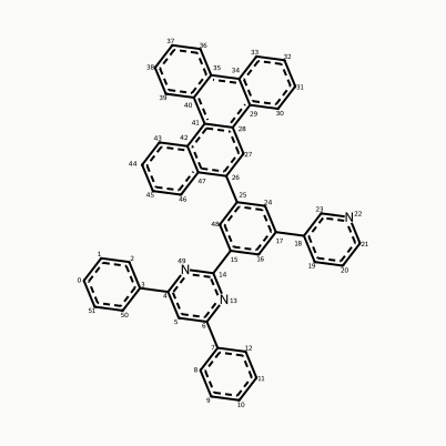 c1ccc(-c2cc(-c3ccccc3)nc(-c3cc(-c4cccnc4)cc(-c4cc5c6ccccc6c6ccccc6c5c5ccccc45)c3)n2)cc1